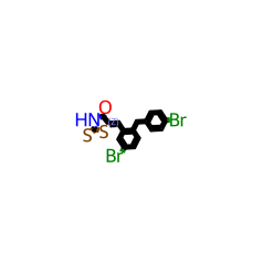 O=C1NC(=S)S/C1=C\c1cc(Br)ccc1Cc1ccc(Br)cc1